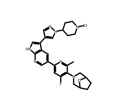 CCN1CCC(n2cc(-c3c[nH]c4ncc(-c5cc(F)c(N6CC7CCC(C6)O7)c(C)n5)cc34)cn2)CC1